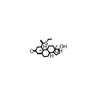 C=C(SCC)C1CC(=O)C=C2CC[C@@H]3[C@H](CC[C@]4(C)[C@@H](O)CC[C@@]34O)[C@]21C